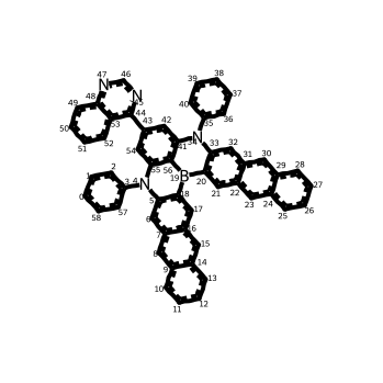 c1ccc(N2c3cc4cc5ccccc5cc4cc3B3c4cc5cc6ccccc6cc5cc4N(c4ccccc4)c4cc(-c5ncnc6ccccc56)cc2c43)cc1